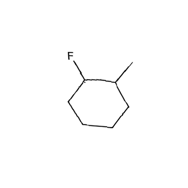 CC1CCCC[C]1F